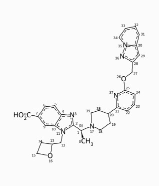 C[C@@H](c1nc2ccc(C(=O)O)cc2n1CC1CCO1)N1CCC(c2cccc(OCc3cc4ccccn4n3)n2)CC1